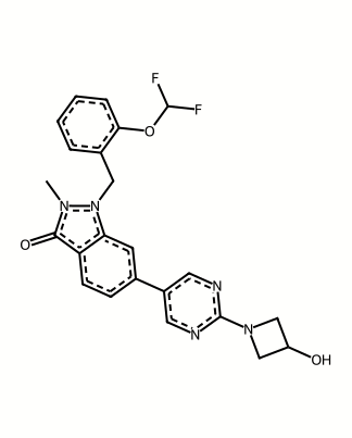 Cn1c(=O)c2ccc(-c3cnc(N4CC(O)C4)nc3)cc2n1Cc1ccccc1OC(F)F